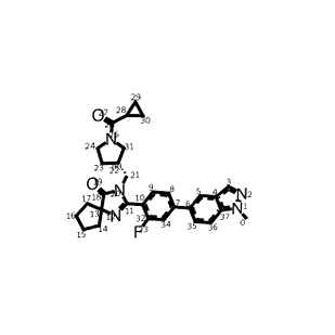 Cn1ncc2cc(-c3ccc(C4=NC5(CCCC5)C(=O)N4C[C@@H]4CCN(C(=O)C5CC5)C4)c(F)c3)ccc21